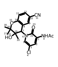 CC(=O)Nc1cc(Cl)cn(C2c3cc(C#N)ccc3OC(C)(C)C2(C)O)c1=O